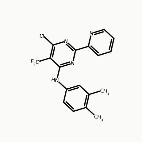 Cc1ccc(Nc2nc(-c3ccccn3)nc(Cl)c2C(F)(F)F)cc1C